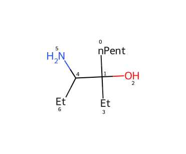 CCCCCC(O)(CC)C(N)CC